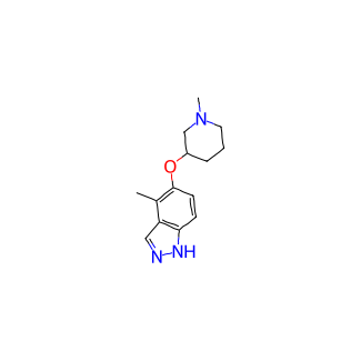 Cc1c(OC2CCCN(C)C2)ccc2[nH]ncc12